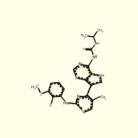 CSc1cccc(Nc2ncc(C)c(-c3c[nH]c4c(NC(=O)NC(C)C)ncnc34)n2)c1F